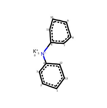 [K+].c1ccc([N-]c2ccccc2)cc1